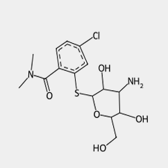 CN(C)C(=O)c1ccc(Cl)cc1SC1OC(CO)C(O)C(N)C1O